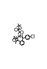 Cc1onc2c1-c1ccccc1C(c1ccc(Cl)cc1)=N[C@H]2CC(=O)C(=O)OC(C)(C)C